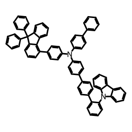 c1ccc(-c2ccc(N(c3ccc(-c4ccc(-c5ccccc5-n5c6ccccc6c6ccccc65)cc4)cc3)c3ccc(-c4cccc5c4-c4ccccc4C5(c4ccccc4)c4ccccc4)cc3)cc2)cc1